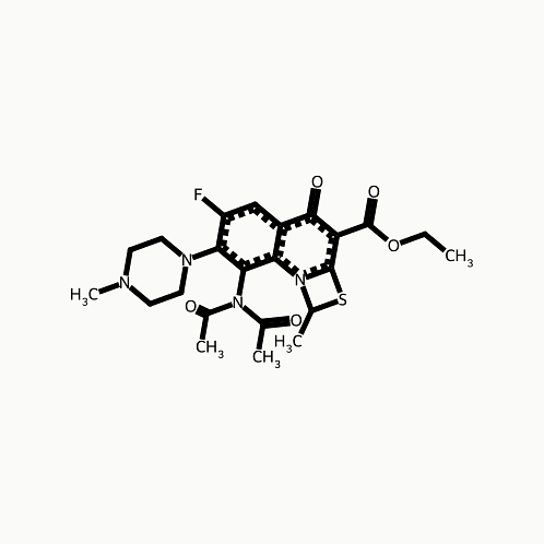 CCOC(=O)c1c2n(c3c(N(C(C)=O)C(C)=O)c(N4CCN(C)CC4)c(F)cc3c1=O)C(C)S2